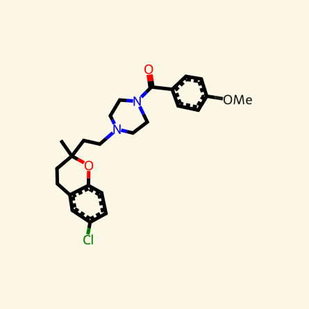 COc1ccc(C(=O)N2CCN(CCC3(C)CCc4cc(Cl)ccc4O3)CC2)cc1